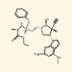 C#C[C@@]1(F)[C@H](O)[C@@H](COP(=S)(N[C@H](C)C(=O)OCC)Oc2ccccc2)O[C@H]1n1cnc2c(NC)nc(N)nc21